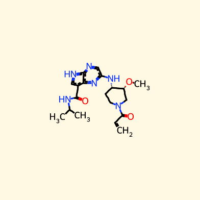 C=CC(=O)N1CC[C@H](Nc2cnc3[nH]cc(C(=O)NC(C)C)c3n2)[C@H](OC)C1